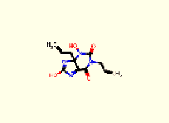 C=CCN1C(=O)C2=NC(O)=NC2(CC=C)N(O)C1=O